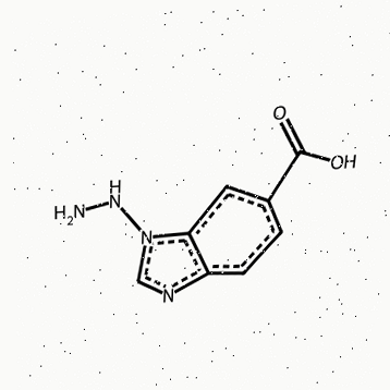 NNn1cnc2ccc(C(=O)O)cc21